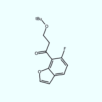 CC(C)(C)OCCC(=O)c1c(F)ccc2ccoc12